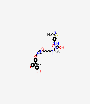 CCC(=C(c1ccc(O)cc1)c1ccc(OCCN2CCN(C(=O)CCCCCCNC(C(=O)N3C[C@H](O)C[C@H]3C(=O)NCc3ccc(-c4scnc4C)cc3)C(C)(C)C)CC2)cc1)c1ccc(O)cc1